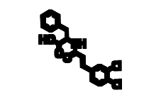 O=C(/C=C/c1ccc(Cl)c(Cl)c1)NC(Cc1ccccc1)C(=O)O